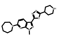 Cn1nc(-c2nnc(C3CCNCC3)o2)c2ccc(N3CCCCCC3)nc21